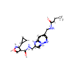 O=C(CCC(F)(F)F)NCc1cnn2cc(CNC(=O)c3conc3C3CC3)nc2c1